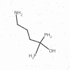 NCCCC(O)(P)P